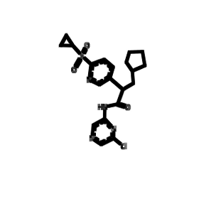 O=C(Nc1cncc(Cl)n1)C(CC1CCCC1)c1ccc(S(=O)(=O)C2CC2)nc1